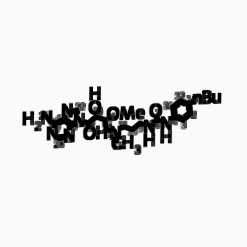 CCCCc1ccc(NC(=O)NCCCN(C)C[C@@H](OC)[C@@H](O)[C@@H](O)n2cnc3c(N)ncnc32)cc1